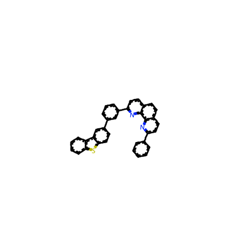 c1ccc(-c2ccc3ccc4ccc(-c5cccc(-c6ccc7sc8ccccc8c7c6)c5)nc4c3n2)cc1